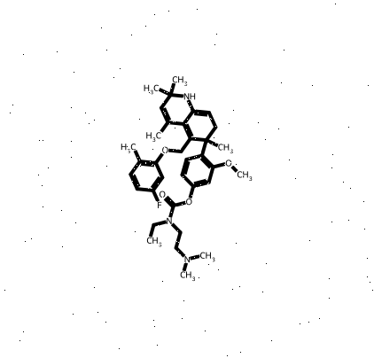 CCN(CCN(C)C)C(=O)Oc1ccc(C2(C)CC=C3NC(C)(C)C=C(C)C3=C2COc2cc(F)ccc2C)c(OC)c1